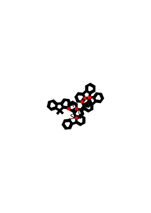 CC1(C)c2ccccc2-c2ccc(N(c3ccc4c(c3)C3(c5ccccc5-4)c4ccccc4-c4ccc(N(c5ccccc5)c5cccc6c5sc5ccccc56)cc43)c3ccccc3-c3ccccc3)cc21